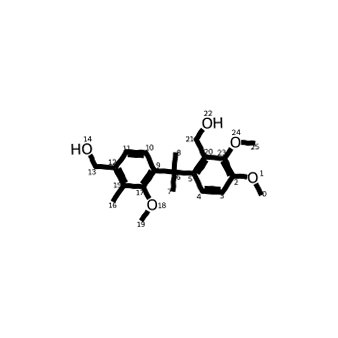 COc1ccc(C(C)(C)c2ccc(CO)c(C)c2OC)c(CO)c1OC